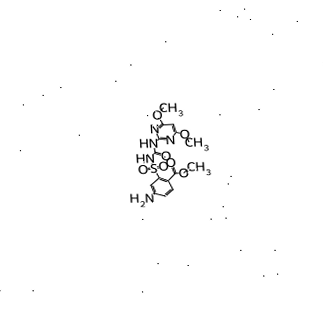 COC(=O)c1ccc(N)cc1S(=O)(=O)NC(=O)Nc1nc(OC)cc(OC)n1